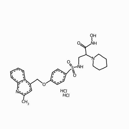 Cc1cc(COc2ccc(S(=O)(=O)NCC(C(=O)NO)N3CCCCC3)cc2)c2ccccc2n1.Cl.Cl